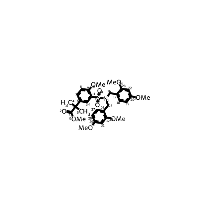 COC(=O)C(C)(C)c1ccc(OC)c(S(=O)(=O)N(Cc2ccc(OC)cc2OC)Cc2ccc(OC)cc2OC)c1